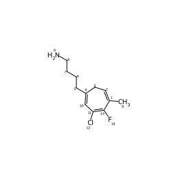 CC1=CCC(CCCCN)=CC(Cl)=C1F